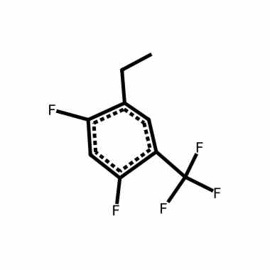 CCc1cc(C(F)(F)F)c(F)cc1F